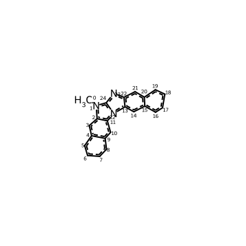 Cn1c2cc3ccccc3cc2n2c3cc4ccccc4cc3nc12